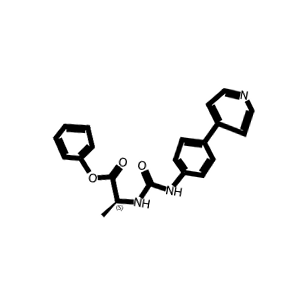 C[C@H](NC(=O)Nc1ccc(-c2ccncc2)cc1)C(=O)Oc1ccccc1